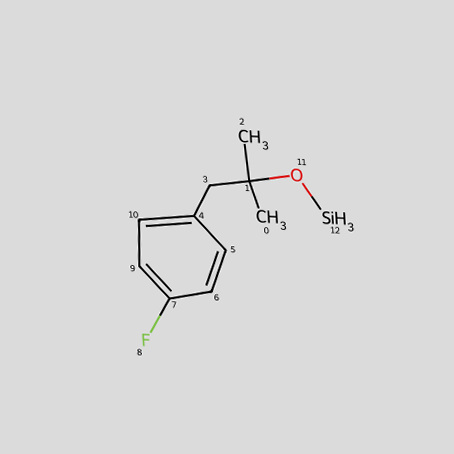 CC(C)(Cc1ccc(F)cc1)O[SiH3]